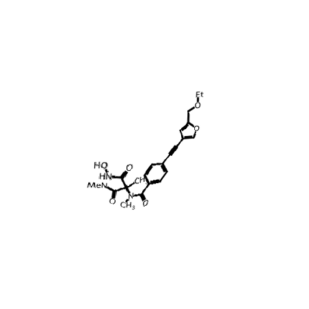 CCOCc1cc(C#Cc2ccc(C(=O)N(C)C(C)(C(=O)NC)C(=O)NO)cc2)co1